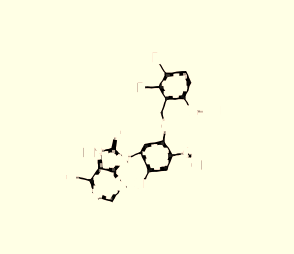 COc1cc(Cl)c(-n2c(=O)[nH]c3c(Cl)ncnc32)cc1OCc1c(OC)ccc(F)c1F